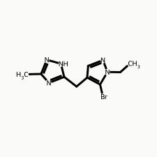 CCn1ncc(Cc2nc(C)n[nH]2)c1Br